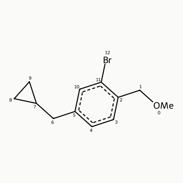 COCc1ccc(CC2CC2)cc1Br